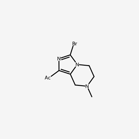 CC(=O)c1nc(Br)n2c1CN(C)CC2